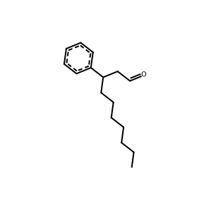 CCCCCCCC(CC=O)c1ccccc1